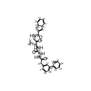 CC(C)C[C@H](NC(=O)C1=CC2C=CC=CC2S1)C(=O)NNC(=O)NNC(=O)Cc1cccc(-c2ccccn2)c1